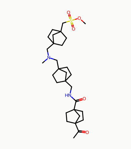 COS(=O)(=O)CC12CCC(CN(C)CC34CCC(CNC(=O)C56CCC(C(C)=O)(CC5)C6)(CC3)C4)(CC1)C2